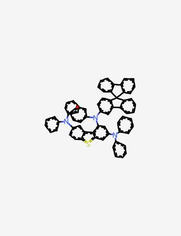 c1ccc(N(c2ccccc2)c2cc(N(c3ccccc3)c3ccc4c(c3)-c3ccccc3C43c4ccccc4-c4ccccc43)c3c(c2)sc2ccc(N(c4ccccc4)c4ccccc4)cc23)cc1